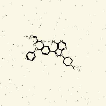 C=CC(=O)Nc1cc(-c2nn(C3CCN(C)CC3)c3ncnc(N)c23)ccc1Oc1ccccc1